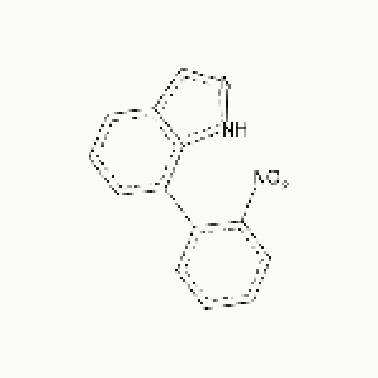 O=[N+]([O-])c1ccccc1-c1cccc2cn[nH]c12